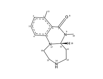 Cc1cccc2c1C(=O)N(C)[C@@H]1CCNCCN21